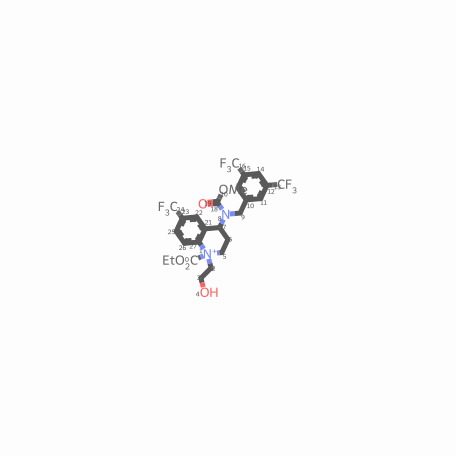 CCOC(=O)[N+]1(CCO)CCC(N(Cc2cc(C(F)(F)F)cc(C(F)(F)F)c2)C(=O)OC)c2cc(C(F)(F)F)ccc21